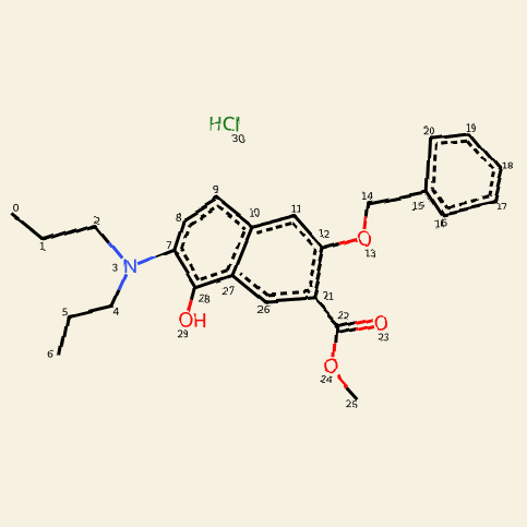 CCCN(CCC)c1ccc2cc(OCc3ccccc3)c(C(=O)OC)cc2c1O.Cl